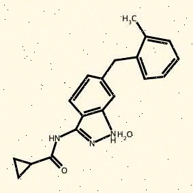 Cc1ccccc1Cc1ccc2c(NC(=O)C3CC3)n[nH]c2c1.O